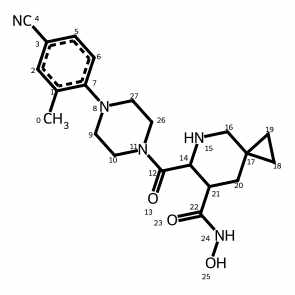 Cc1cc(C#N)ccc1N1CCN(C(=O)C2NCC3(CC3)CC2C(=O)NO)CC1